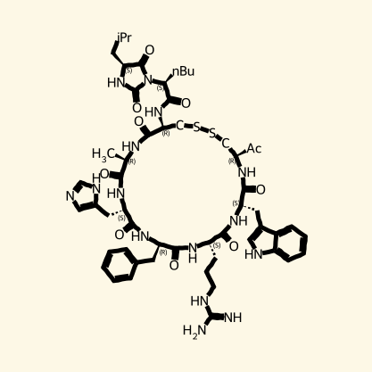 CCCC[C@@H](C(=O)N[C@H]1CSSC[C@@H](C(C)=O)NC(=O)[C@H](Cc2c[nH]c3ccccc23)NC(=O)[C@H](CCCNC(=N)N)NC(=O)[C@@H](Cc2ccccc2)NC(=O)[C@H](Cc2cnc[nH]2)NC(=O)[C@@H](C)NC1=O)N1C(=O)N[C@@H](CC(C)C)C1=O